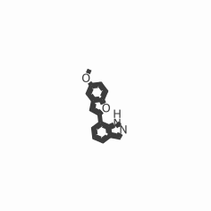 COc1ccc2oc(-c3cccc4cn[nH]c34)cc2c1